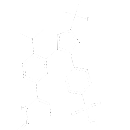 C=NN/C(=C\C)c1ccc(C(C)C)c(-c2cc(C(F)(F)F)nn2-c2ccc(S(N)(=O)=O)cc2)c1